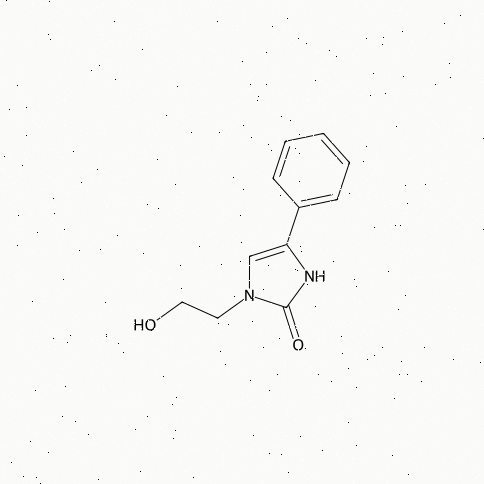 O=c1[nH]c(-c2ccccc2)cn1CCO